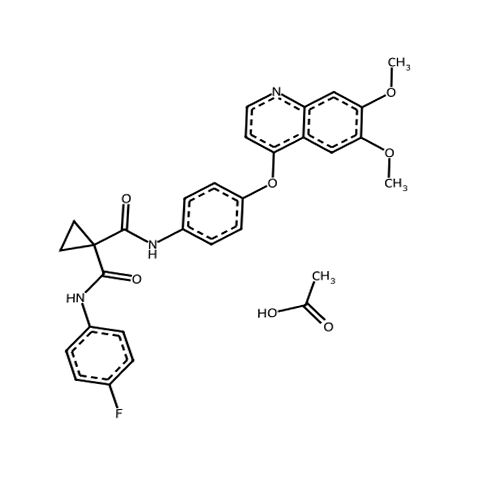 CC(=O)O.COc1cc2nccc(Oc3ccc(NC(=O)C4(C(=O)Nc5ccc(F)cc5)CC4)cc3)c2cc1OC